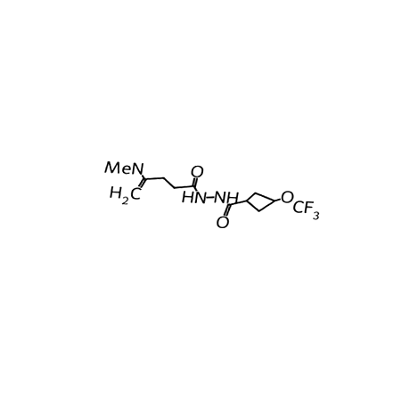 C=C(CCC(=O)NNC(=O)C1CC(OC(F)(F)F)C1)NC